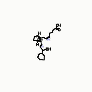 O=C(O)CCC/C=C\C[C@H]1[C@H](/C=C/C(O)C2CCCCC2)[C@@H]2CC[C@H]1O2